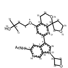 CC(=O)Nc1cc2c(-c3cc(OCCC(C)(C)O)c4c(n3)C3(CCOC3)OCC4)cn(C3COC3)c2cn1